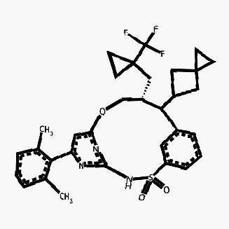 Cc1cccc(C)c1-c1cc2nc(n1)NS(=O)(=O)c1cccc(c1)C(C1CC3(CC3)C1)[C@@H](CC1(C(F)(F)F)CC1)CO2